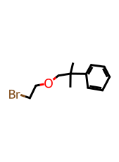 CC(C)(COCCBr)c1ccccc1